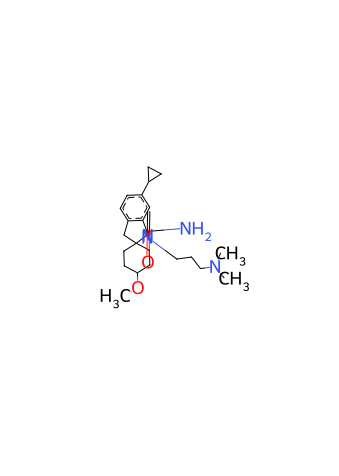 COC1CCC2(CC1)Cc1ccc(C3CC3)cc1C21N=C(N)N(CCCN(C)C)C1=O